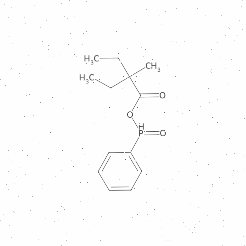 CCC(C)(CC)C(=O)O[PH](=O)c1ccccc1